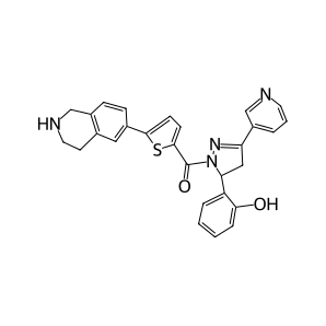 O=C(c1ccc(-c2ccc3c(c2)CCNC3)s1)N1N=C(c2cccnc2)CC1c1ccccc1O